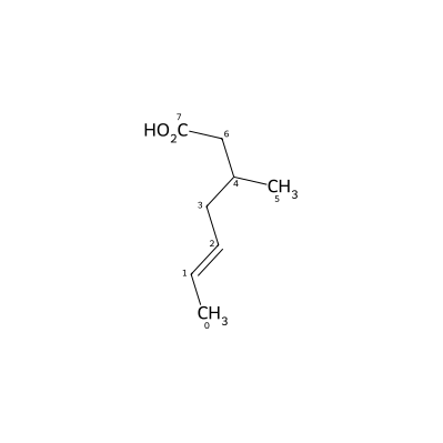 CC=CCC(C)CC(=O)O